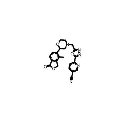 Cc1c(C2CN(Cc3nnc(-c4ccc(C#N)cn4)o3)CCO2)ccc2c1COC2=O